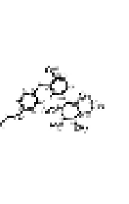 CCOc1ccc(Cc2cc([C@H]3[C@H](O)[C@@H](O)C(O)[C@@H](CO)N3C)ccc2Cl)cc1